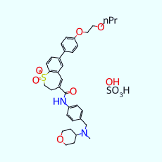 CCCOCCOc1ccc(-c2ccc3c(c2)C=C(C(=O)Nc2ccc(CN(C)C4CCOCC4)cc2)CCS3(=O)=O)cc1.O=S(=O)(O)O